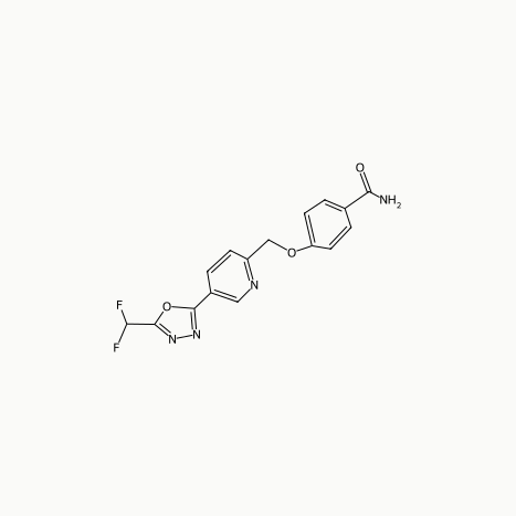 NC(=O)c1ccc(OCc2ccc(-c3nnc(C(F)F)o3)cn2)cc1